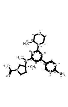 CC(=O)N1CC[C@](C)(N(C)c2cc(-c3cnc(N)nc3)nc(N3CCOC[C@@H]3C)n2)C1